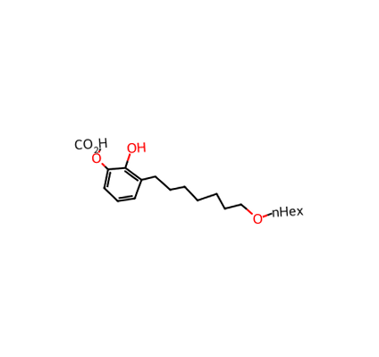 CCCCCCOCCCCCCCc1cccc(OC(=O)O)c1O